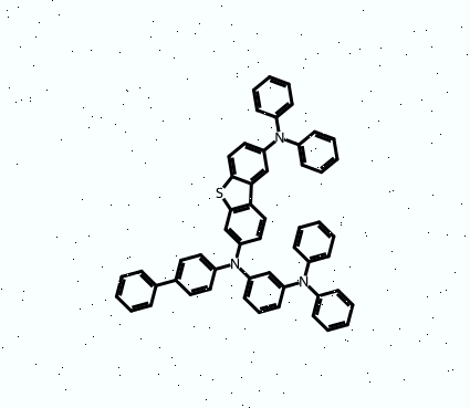 c1ccc(-c2ccc(N(c3cccc(N(c4ccccc4)c4ccccc4)c3)c3ccc4c(c3)sc3ccc(N(c5ccccc5)c5ccccc5)cc34)cc2)cc1